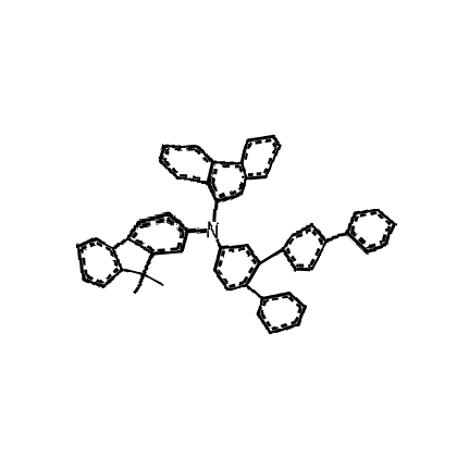 CC1(C)c2ccccc2-c2ccc(N(c3ccc(-c4ccccc4)c(-c4ccc(-c5ccccc5)cc4)c3)c3cc4ccccc4c4ccccc34)cc21